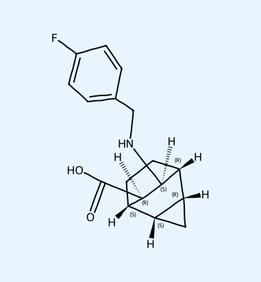 O=C(O)[C@@H]1[C@H]2CC[C@H]([C@@H]3C[C@@H]32)[C@@H]1NCc1ccc(F)cc1